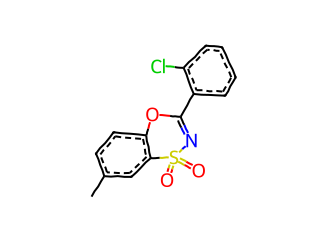 Cc1ccc2c(c1)S(=O)(=O)N=C(c1ccccc1Cl)O2